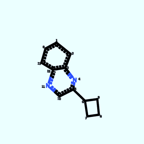 c1ccc2nc(C3CCC3)cnc2c1